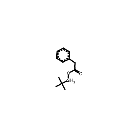 CC(C)(C)[SiH2]OC(=O)Cc1ccccc1